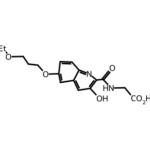 CCOCCCOc1ccc2nc(C(=O)NCC(=O)O)c(O)cc2c1